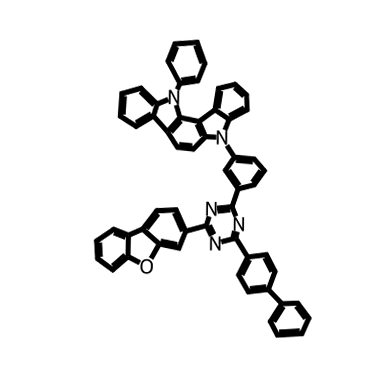 c1ccc(-c2ccc(-c3nc(-c4cccc(-n5c6ccccc6c6c5ccc5c7ccccc7n(-c7ccccc7)c56)c4)nc(-c4ccc5c(c4)oc4ccccc45)n3)cc2)cc1